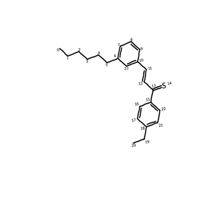 CCCCCCc1cccc(C=CC(=S)c2ccc(CC)cc2)c1